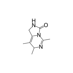 CC1=NC(C)C(C)=C2CNC(=O)N12